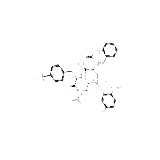 COc1ccc(F)cc1S(=O)(=O)N1CC(N(Cc2ccccc2)C(=O)O)C(=O)N2C(Cc3ccc(Cl)cc3)C(=O)N(C(C)C)CC21